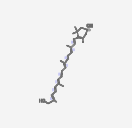 CC1=C(/C=C/C(C)=C/C=C/C(C)=C/C=C/C=C(C)/C=C/C=C(\C)CO)C(C)(C)C[C@H](O)C1